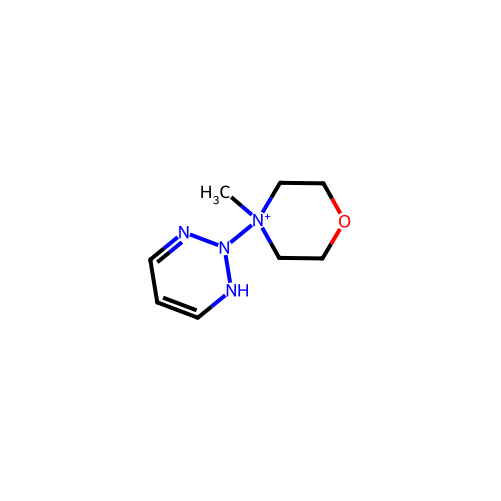 C[N+]1(N2N=CC=CN2)CCOCC1